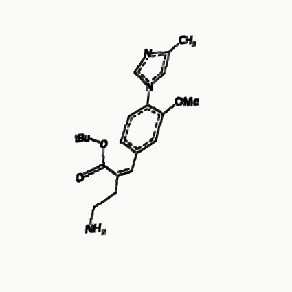 COc1cc(C=C(CCN)C(=O)OC(C)(C)C)ccc1-n1cnc(C)c1